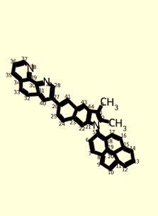 Cc1c(C)n(-c2ccc3ccc4cccc5ccc2c3c45)c2cc3ccc(-c4cnc5c(ccc6cccnc65)c4)cc3cc12